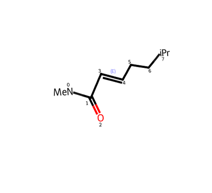 CNC(=O)/C=C/CCC(C)C